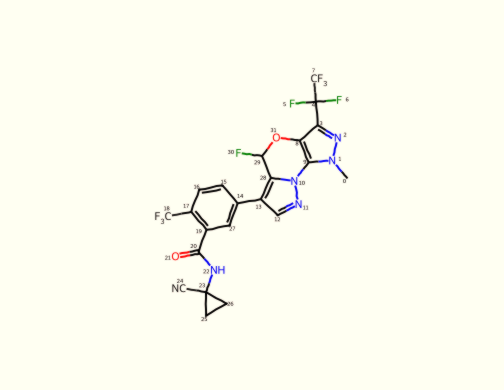 Cn1nc(C(F)(F)C(F)(F)F)c2c1-n1ncc(-c3ccc(C(F)(F)F)c(C(=O)NC4(C#N)CC4)c3)c1C(F)O2